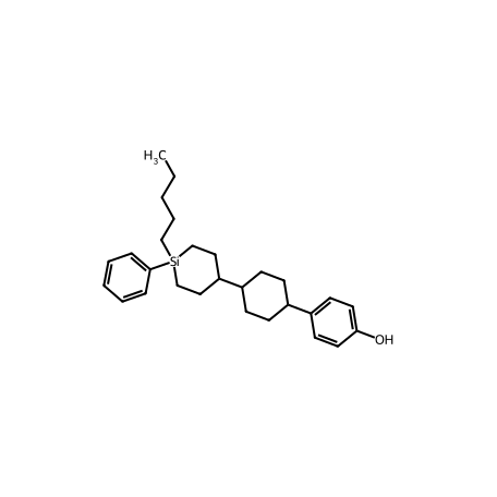 CCCCC[Si]1(c2ccccc2)CCC(C2CCC(c3ccc(O)cc3)CC2)CC1